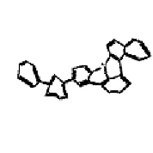 c1ccc(-c2cccc(-c3ccc4c(c3)c3cccc5c6c7ccccc7ccc6n4c35)c2)cc1